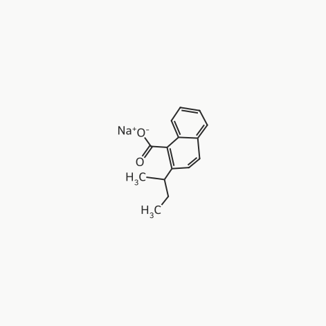 CCC(C)c1ccc2ccccc2c1C(=O)[O-].[Na+]